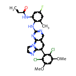 C=CC(=O)Nc1cc(F)cc(C)c1Nc1ncc2cc(-c3c(Cl)c(OC)cc(OC)c3Cl)c3nccn3c2n1